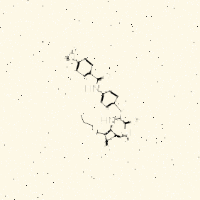 CCCNc1c(N[C@@H](Cc2ccc(NC(=O)c3ccc([N+](=O)[O-])cc3)cc2)C(=O)O)c(=O)c1=O